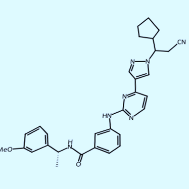 COc1cccc([C@@H](C)NC(=O)c2cccc(Nc3nccc(-c4cnn(C(CC#N)C5CCCC5)c4)n3)c2)c1